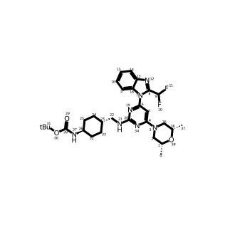 C[C@@H]1CN(c2cc(-n3c(C(F)F)nc4ccccc43)nc(NC[C@H]3CC[C@H](NC(=O)OC(C)(C)C)CC3)n2)C[C@H](C)O1